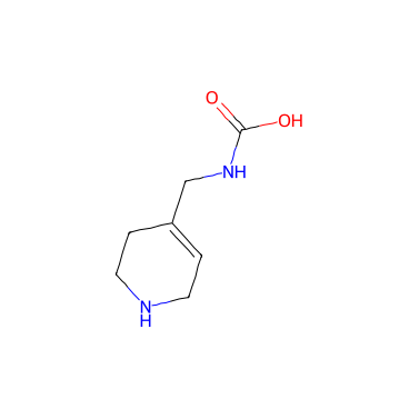 O=C(O)NCC1=CCNCC1